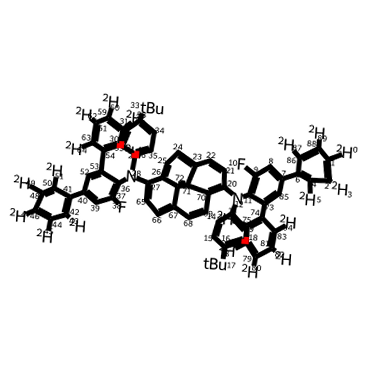 [2H]c1c([2H])c([2H])c(-c2cc(F)c(N(c3ccc(C(C)(C)C)cc3)c3ccc4ccc5c(N(c6ccc(C(C)(C)C)cc6)c6c(F)cc(-c7c([2H])c([2H])c([2H])c([2H])c7[2H])cc6-c6c([2H])c([2H])c([2H])c([2H])c6[2H])ccc6ccc3c4c65)c(-c3c([2H])c([2H])c([2H])c([2H])c3[2H])c2)c([2H])c1[2H]